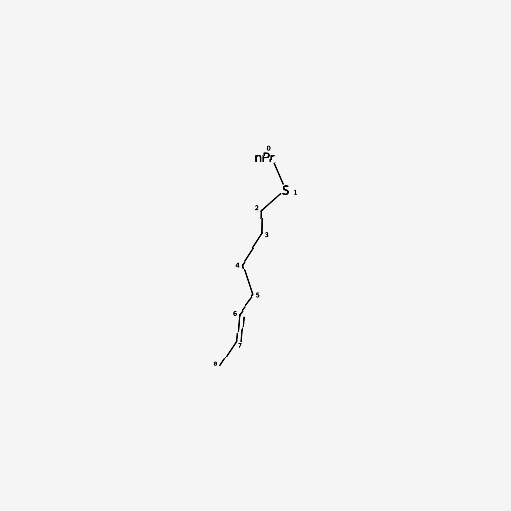 [CH2]CCSCCCCC=CC